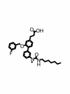 CCCCCCCNC(=O)N(C)c1cccc(-c2ccc(CCC(=O)O)cc2OCc2cccc(F)c2)c1